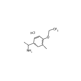 Cc1cc(C(C)N)ccc1OCC(F)(F)F.Cl